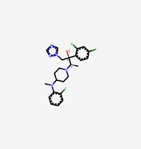 C[C@@H](N1CCC(N(C)c2ccccc2F)CC1)[C@](O)(Cn1cncn1)c1ccc(F)cc1F